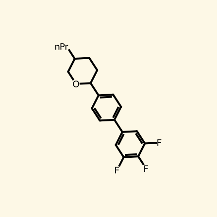 CCCC1CCC(c2ccc(-c3cc(F)c(F)c(F)c3)cc2)OC1